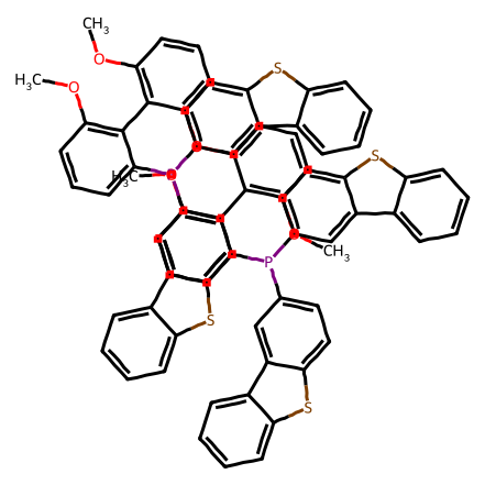 COc1cccc(Oc2cccc(OC)c2-c2c(OC)cccc2P(c2ccc3sc4ccccc4c3c2)c2ccc3sc4ccccc4c3c2)c1-c1c(OC)cccc1P(c1ccc2sc3ccccc3c2c1)c1ccc2sc3ccccc3c2c1